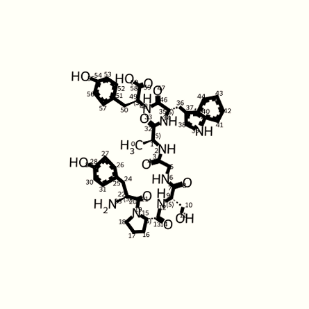 C[C@H](NC(=O)CNC(=O)[C@H](CO)NC(=O)[C@@H]1CCCN1C(=O)[C@@H](N)Cc1ccc(O)cc1)C(=O)N[C@@H](Cc1c[nH]c2ccccc12)C(=O)N[C@@H](Cc1ccc(O)cc1)C(=O)O